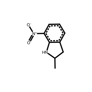 CC1Cc2cccc([N+](=O)[O-])c2N1